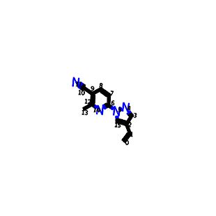 C=Cc1cnn(-c2ccc(C#N)c(C)n2)c1